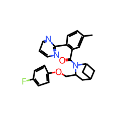 Cc1ccc(-c2ncccn2)c(C(=O)N2C(COc3ccc(F)cc3)CC3CC2C3)c1